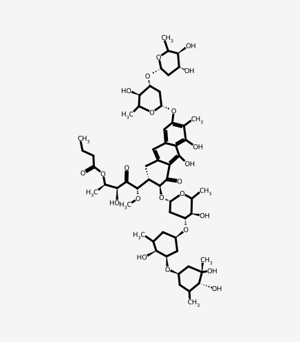 CCCC(=O)O[C@H](C)[C@H](O)C(=O)[C@@H](OC)[C@@H]1Cc2cc3cc(O[C@H]4C[C@@H](O[C@H]5C[C@@H](O)[C@H](O)C(C)O5)[C@H](O)C(C)O4)c(C)c(O)c3c(O)c2C(=O)[C@H]1O[C@H]1C[C@@H](O[C@@H]2CC(C)[C@H](O)[C@H](O[C@@H]3CC(C)[C@@H](O)[C@@](C)(O)C3)C2)[C@H](O)C(C)O1